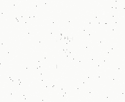 CCCCCCCO[PH](=O)O.[Mo]